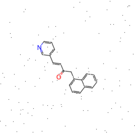 O=C(C=Cc1cccnc1)Cc1cccc2ccccc12